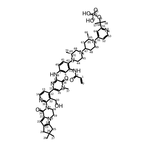 C=CC(=O)Nc1cc(Nc2nc(-c3ccnc(N4CCn5c(cc6c5CC(C)(C)C6)C4=O)c3CO)cn(C)c2=O)ccc1N1CCN(C2CCN(c3ccnc(C(C)(C)OP(=O)(O)O)c3)[C@H](C)C2)C[C@@H]1C